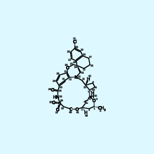 C[C@@H]1C[C@@H]2C[C@@H](O1)[C@@H]1CC[C@H]1CN1C[C@@]3(CCCc4cc(Cl)ccc43)COc3ccc(cc31)C(=O)NS(=O)(=O)CCO2